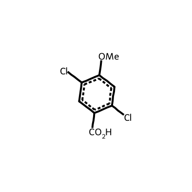 COc1cc(Cl)c(C(=O)O)cc1Cl